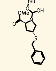 COC(=O)[C@@H]1C[C@@H](SCc2ccccc2)CN1C(O)OC(C)(C)C